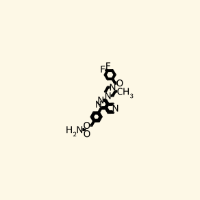 CC1CN(c2nnc(-c3ccc(COC(N)=O)cc3)c3ccncc23)CCN1C(=O)C1CCC(F)(F)CC1